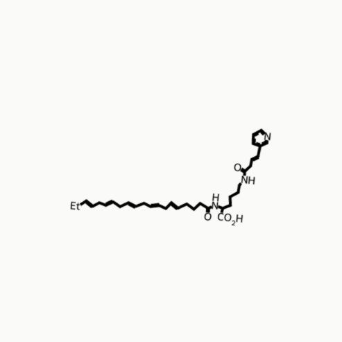 CCC=CCC=CCC=CCC=CCC=CCCCC(=O)NC(CCCCNC(=O)CC=Cc1cccnc1)C(=O)O